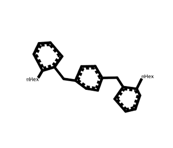 CCCCCCc1ccccc1Cc1ccc(Cc2ccccc2CCCCCC)cc1